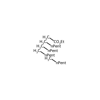 CCCCCC.CCCCCC.CCCCCC.CCCCCC.CCOC(C)=O